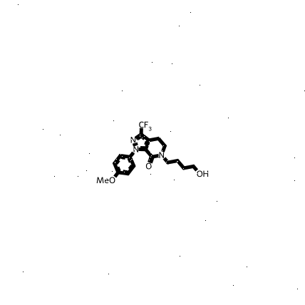 COc1ccc(-n2nc(C(F)(F)F)c3c2C(=O)N(CCCCO)CC3)cc1